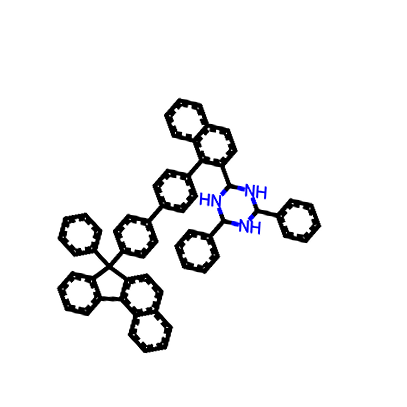 c1ccc(C2NC(c3ccccc3)NC(c3ccc4ccccc4c3-c3ccc(-c4ccc(C5(c6ccccc6)c6ccccc6-c6c5ccc5ccccc65)cc4)cc3)N2)cc1